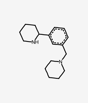 c1cc(CN2CCCCC2)cc(C2CCCCN2)c1